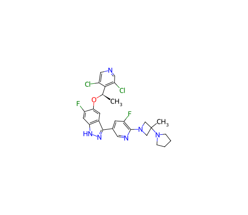 C[C@@H](Oc1cc2c(-c3cnc(N4CC(C)(N5CCCC5)C4)c(F)c3)n[nH]c2cc1F)c1c(Cl)cncc1Cl